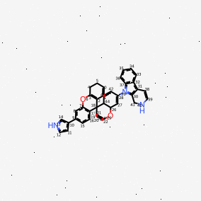 C1=CC2=C(CC1)Oc1cc(-c3cc[nH]c3)ccc1C21c2ccccc2OC2C=C(n3c4c(c5ccccc53)C=CNC4)C=CC21